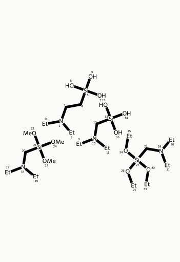 CCN(CC)CC[Si](O)(O)O.CCN(CC)C[Si](O)(O)O.CCN(CC)C[Si](OC)(OC)OC.CCO[Si](CN(CC)CC)(OCC)OCC